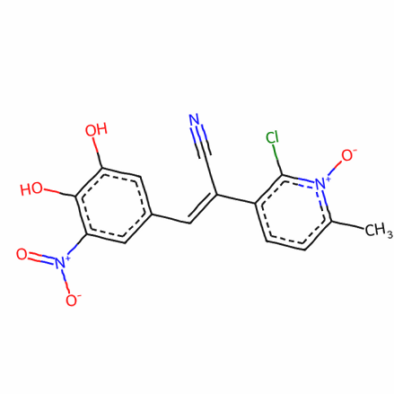 Cc1ccc(/C(C#N)=C/c2cc(O)c(O)c([N+](=O)[O-])c2)c(Cl)[n+]1[O-]